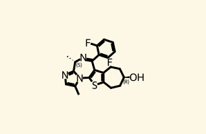 Cc1cnc2n1-c1sc3c(c1C(c1c(F)cccc1F)=N[C@H]2C)CC[C@@H](O)CC3